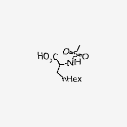 CCCCCCCC(NS(C)(=O)=O)C(=O)O